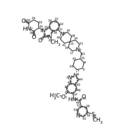 COc1cc2nn([C@H]3CC[C@H](CN4CCC5(CC4)CCN(c4cccc6c4n(C)c(=O)n6C4CCC(=O)NC4=O)CC5)CC3)cc2cc1NC(=O)c1cncc(SC)c1